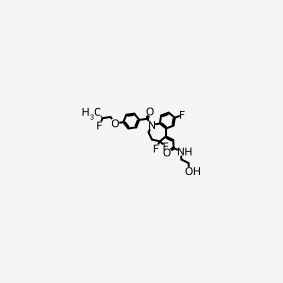 C[C@@H](F)COc1ccc(C(=O)N2CCC(F)(F)/C(=C\C(=O)NCCO)c3cc(F)ccc32)cc1